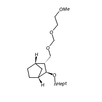 CCCCCCCO[C@H]1[C@@H]2CC[C@@H](C2)[C@@H]1COCOCCOC